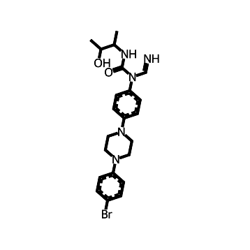 CC(O)C(C)NC(=O)N(C=N)c1ccc(N2CCN(c3ccc(Br)cc3)CC2)cc1